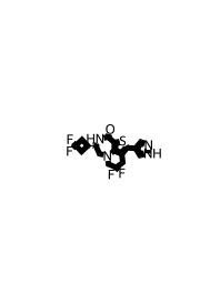 O=C1N[C@@H](C2CC(F)(F)C2)CN2CC(F)(F)Cc3c(-c4cn[nH]c4)sc1c32